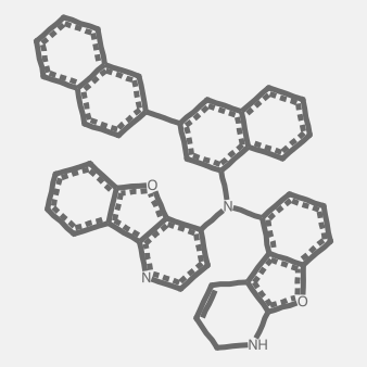 C1=Cc2c(oc3cccc(N(c4cc(-c5ccc6ccccc6c5)cc5ccccc45)c4ccnc5c4oc4ccccc45)c23)NC1